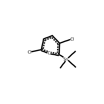 [CH3][Sn]([CH3])([CH3])[c]1cc(Cl)ccc1Cl